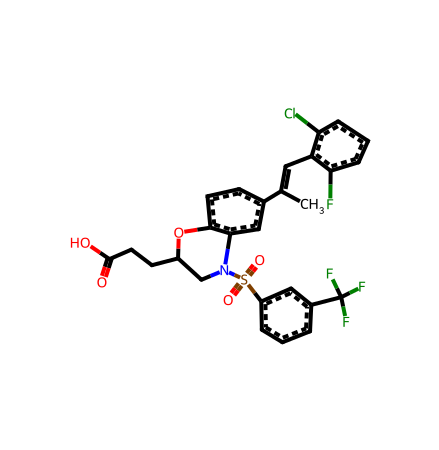 C/C(=C\c1c(F)cccc1Cl)c1ccc2c(c1)N(S(=O)(=O)c1cccc(C(F)(F)F)c1)CC(CCC(=O)O)O2